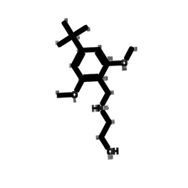 COc1cc(C(C)(C)C)cc(OC)c1CNCCO